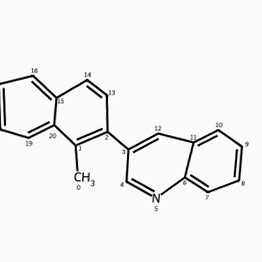 Cc1c(-c2cnc3ccccc3c2)ccc2ccccc12